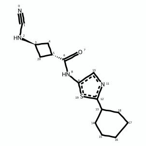 N#CN[C@H]1C[C@H](C(=O)Nc2cnc(C3CCCCC3)s2)C1